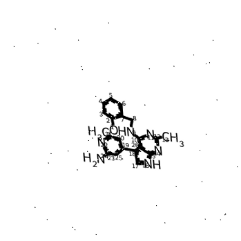 COc1ccccc1CNc1nc(C)nc2[nH]cc(-c3ccnc(N)c3)c12